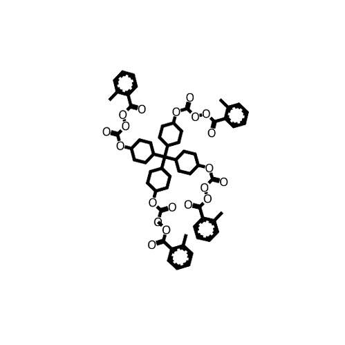 Cc1ccccc1C(=O)OOC(=O)OC1CCC(C(C2CCC(OC(=O)OOC(=O)c3ccccc3C)CC2)(C2CCC(OC(=O)OOC(=O)c3ccccc3C)CC2)C2CCC(OC(=O)OOC(=O)c3ccccc3C)CC2)CC1